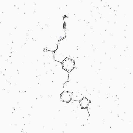 CCN(C/C=C/C#CC(C)(C)C)Cc1cccc(OCc2cccc(-c3csc(C)c3)c2)c1